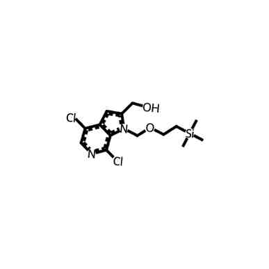 C[Si](C)(C)CCOCn1c(CO)cc2c(Cl)cnc(Cl)c21